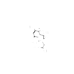 CO[C@@H]1C(=O)C=C(C)[C@]2(CO2)[C@H]1[C@@]1(C)O[C@@H]1CCC(C)C